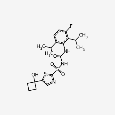 CC(C)c1ccc(F)c(C(C)C)c1NC(=O)NS(=O)(=O)c1ncc(C2(O)CCC2)s1